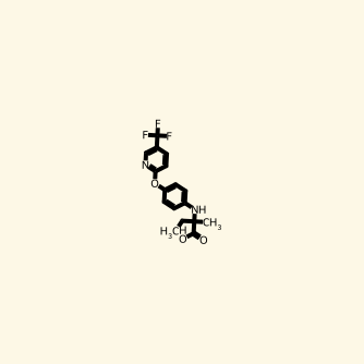 CCC(C)(Nc1ccc(Oc2ccc(C(F)(F)F)cn2)cc1)C(=O)O